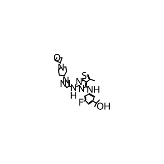 Cc1csc2nc(Nc3cnn(C4CCN(C5COC5)CC4)c3)nc(Nc3cc(F)cc(C(C)(C)O)c3)c12